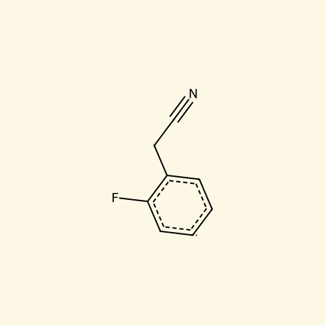 N#CCc1cc[c]cc1F